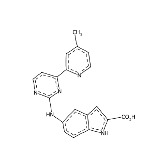 Cc1ccnc(-c2ccnc(Nc3ccc4[nH]c(C(=O)O)cc4c3)n2)c1